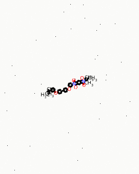 CCCC(C)(CC)n1c(=O)c2cc3c(=O)n(-c4cccc(Oc5ccc(-c6ccc(Oc7cccc(C(C)(CC)CC)c7)cc6)cc5)c4)c(=O)c3cc2c1=O